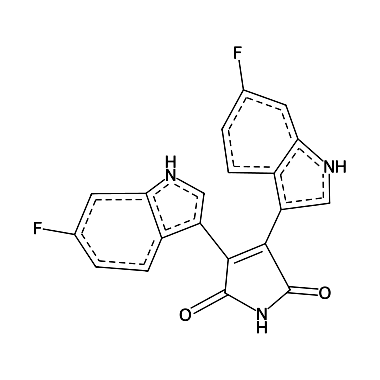 O=C1NC(=O)C(c2c[nH]c3cc(F)ccc23)=C1c1c[nH]c2cc(F)ccc12